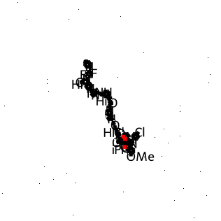 COc1ccc(C2=N[C@@H](c3ccc(Cl)cc3)[C@@H](c3ccc(Cl)cc3)N2C(=O)N2CCN(CC(=O)NCCOCCN3CC[C@@]4(CCN(CCC(=O)NCc5cccc(CNc6cc(N7CCC8(CC7)CN(c7cc(F)c(CN9CCC(C)(C)CC9)cc7F)CC(=O)N8)ncn6)c5)C4)C3)C(=O)C2)c(OC(C)C)c1